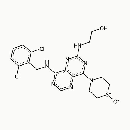 [O-][S+]1CCN(c2nc(NCCO)nc3c(NCc4c(Cl)cccc4Cl)ncnc23)CC1